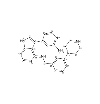 Nc1cc(-c2c[nH]c3ncnc(NCc4cccc(N5CCNCC5)c4)c23)ccn1